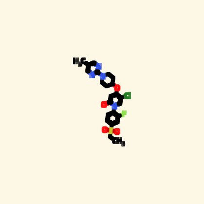 CCS(=O)(=O)c1ccc(-n2cc(Cl)c(OC3CCN(c4ncc(C)cn4)CC3)cc2=O)c(F)c1